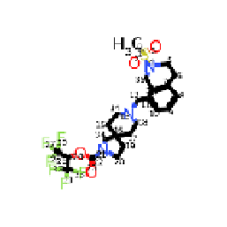 CS(=O)(=O)N1CCc2cccc(CN3CCC4(CC3)CCN(C(=O)OC(C(F)(F)F)C(F)(F)F)C4)c2C1